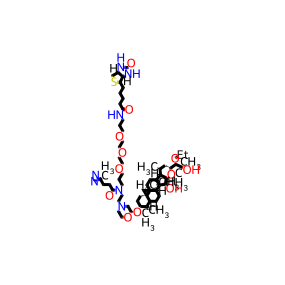 CCO[C@@H]([C@H]1C[C@@H](C)[C@H]2[C@H](O1)[C@H](O)[C@@]1(C)[C@@H]3CC[C@H]4C(C)(C)C(O[C@H]5CN(CCN(CCCOCCOCCOCCCNC(=O)CCCCC6SC[C@@H]7NC(=O)N[C@H]67)C(=O)CCC6(C)N=N6)CCO5)CC[C@@]45CC35CC[C@]21C)C(C)(C)O